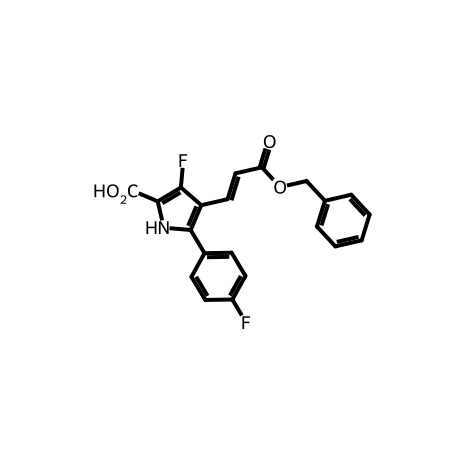 O=C(C=Cc1c(-c2ccc(F)cc2)[nH]c(C(=O)O)c1F)OCc1ccccc1